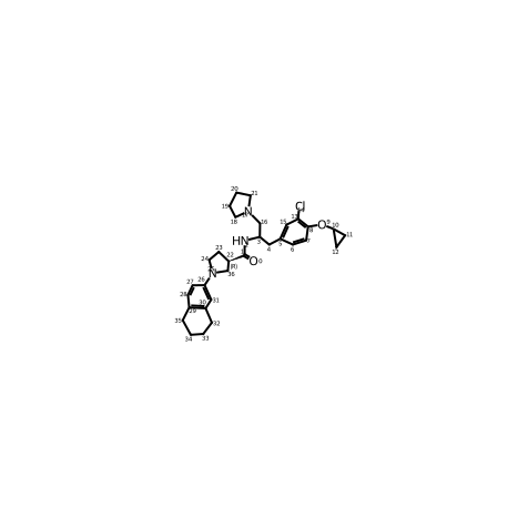 O=C(NC(Cc1ccc(OC2CC2)c(Cl)c1)CN1CCCC1)[C@@H]1CCN(c2ccc3c(c2)CCCC3)C1